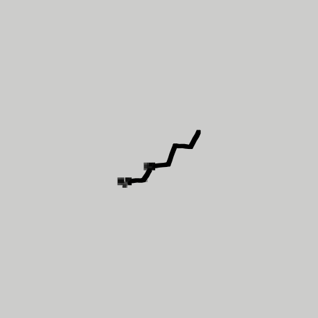 CCCCN[CH]N